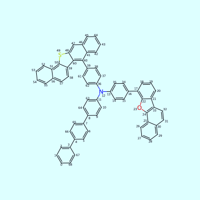 c1ccc(-c2ccc(-c3ccc(N(c4ccc(-c5cccc6c5oc5c7ccccc7ccc65)cc4)c4ccc(-c5c6ccccc6cc6sc7c8ccccc8ccc7c56)cc4)cc3)cc2)cc1